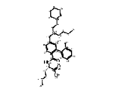 CCC[C@H](C)N(CCC1CCCCC1)Cc1ccc(C(=O)N[C@@H](CCSC)C(=O)O)c(-c2ccccc2C)c1